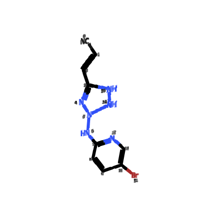 N#CC=CC1=NN(Nc2ccc(Br)cn2)NN1